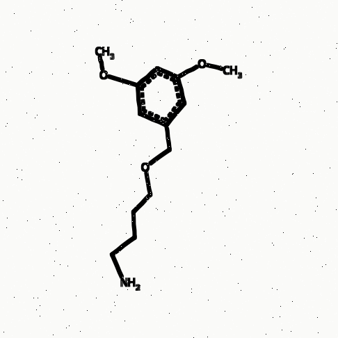 COc1cc(COCCCCN)cc(OC)c1